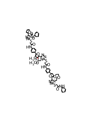 COC(Cn1c(SCC(=O)Nc2ccc(-c3ccc(-c4nnc(SCC(=O)Nc5ccccc5)n4CC4OCCO4)o3)cc2)nnc1-c1ccc(-c2ccc(NC(=O)CSc3nnc(-c4ccco4)n3S(=O)(=O)c3ccccc3)cc2)o1)OC